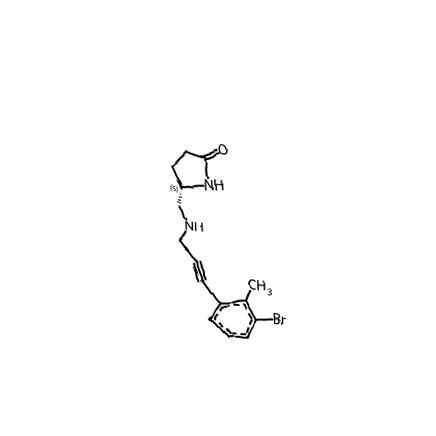 Cc1c(Br)cccc1C#CCNC[C@@H]1CCC(=O)N1